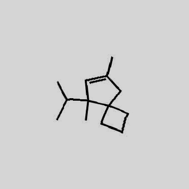 CC1=CC(C)(C(C)C)C2(CCC2)C1